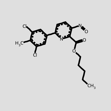 CCCCCOC(=O)c1nc(-c2cc(Cl)c(C)c(Cl)c2)ccc1N=O